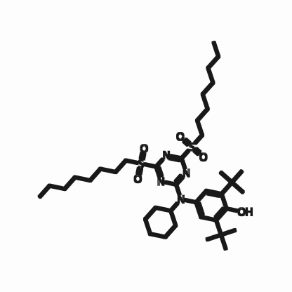 CCCCCCCCS(=O)(=O)c1nc(N(c2cc(C(C)(C)C)c(O)c(C(C)(C)C)c2)C2CCCCC2)nc(S(=O)(=O)CCCCCCCC)n1